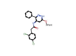 CCCCCOc1cc(=NC(=O)Cc2ccc(Cl)cc2Cl)c(-c2ccccc2)n[nH]1